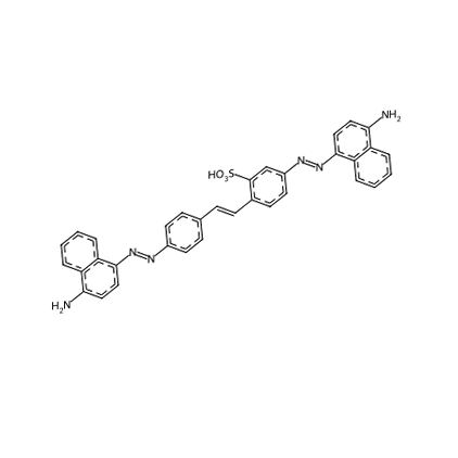 Nc1ccc(N=Nc2ccc(C=Cc3ccc(N=Nc4ccc(N)c5ccccc45)cc3S(=O)(=O)O)cc2)c2ccccc12